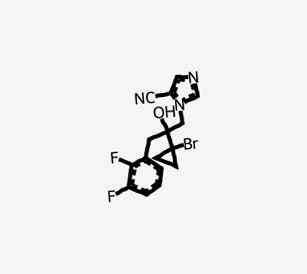 N#Cc1cncn1CC(O)(Cc1cccc(F)c1F)C1(Br)CC1